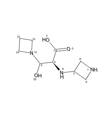 O=C(O)[C@@H](NC1CNC1)C(O)N1CCC1